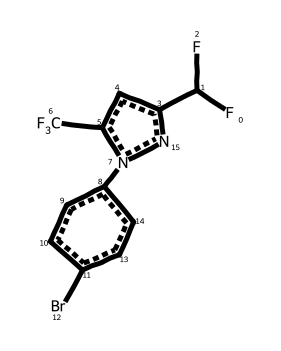 FC(F)c1cc(C(F)(F)F)n(-c2ccc(Br)cc2)n1